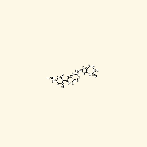 CNCc1cc(C)c(-c2ccc3cnc(Nc4cc5n(n4)CC(=O)N(C)CC5)cc3c2)c(F)c1